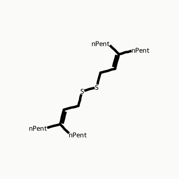 CCCCCC(=CCSSCC=C(CCCCC)CCCCC)CCCCC